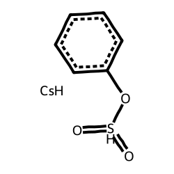 O=[SH](=O)Oc1ccccc1.[CsH]